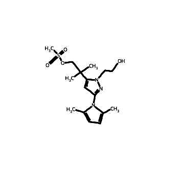 Cc1ccc(C)n1-c1cc(C(C)(C)COS(C)(=O)=O)n(CCO)n1